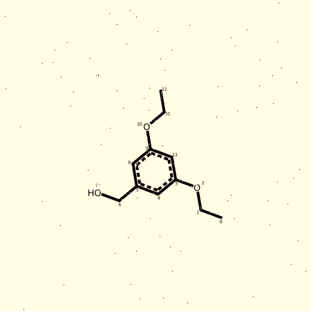 CCOc1cc(CO)cc(OCC)c1